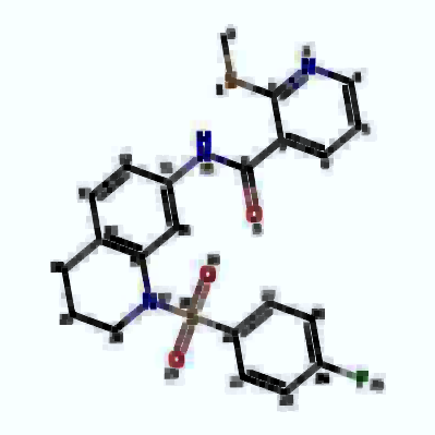 CSc1ncccc1C(=O)Nc1ccc2c(c1)N(S(=O)(=O)c1ccc(F)cc1)CCC2